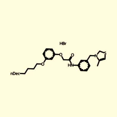 Br.CCCCCCCCCCCCCCOc1cccc(OCC(=O)Nc2cccc(CN3CSC=C3C)c2)c1